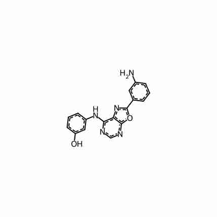 Nc1cccc(-c2nc3c(Nc4cccc(O)c4)ncnc3o2)c1